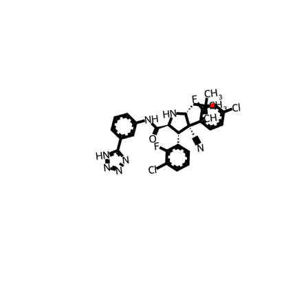 CC(C)(C)C[C@H]1N[C@H](C(=O)Nc2cccc(-c3nnn[nH]3)c2)[C@@H](c2cccc(Cl)c2F)[C@]1(C#N)c1ccc(Cl)cc1F